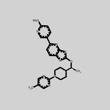 CSc1ccc(-c2ccc3nc(O[C@@H](C)C4CCN(c5ncc(C(F)(F)F)cn5)CC4)sc3n2)cn1